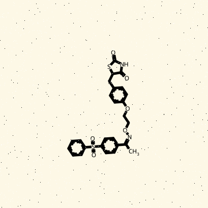 CC(=NOCCOc1ccc(CC2SC(=O)NC2=O)cc1)c1ccc(S(=O)(=O)c2ccccc2)cc1